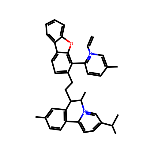 C=C[n+]1cc(C)ccc1-c1c(CCC2c3cc(C)ccc3-c3ccc(C(C)C)c[n+]3C2C)ccc2c1oc1ccccc12